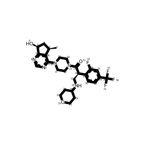 C[C@@H]1C[C@H](O)c2ncnc(N3CCN(C(=O)[C@H](CNC4CCOCC4)c4ccc(C(F)(F)F)cc4F)CC3)c21